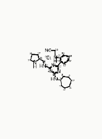 CC[C@H](Nc1nc(NC2CCCCCC2)nc(-c2ccccc2NCC#N)n1)C1CCCN1